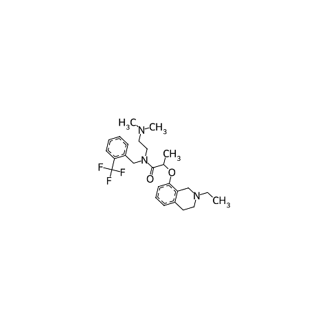 CCN1CCc2cccc(OC(C)C(=O)N(CCN(C)C)Cc3ccccc3C(F)(F)F)c2C1